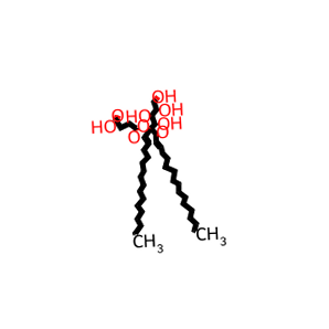 CCCCCCCCCCCCCCC=CC(=O)[C@](C=CCCCCCCCCCCCCCC)(OC(=O)CCC(=O)O)[C@@H](O)[C@H](O)[C@H](O)CO